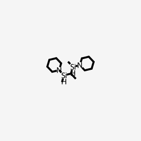 CC([SiH](C)N1CCCCC1)[SiH](C)N1CCCCC1